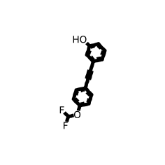 Oc1cccc(C#Cc2ccc(OC(F)F)cc2)c1